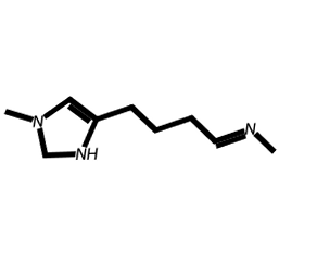 C/N=C/CCCC1=CN(C)CN1